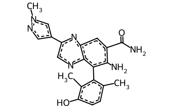 Cc1ccc(O)c(C)c1-c1c(N)c(C(N)=O)cc2nc(-c3cnn(C)c3)cnc12